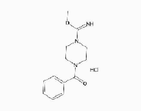 COC(=N)N1CCN(C(=O)c2ccccc2)CC1.Cl